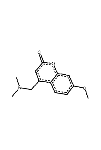 COc1ccc2c(CN(C)C)cc(=O)oc2c1